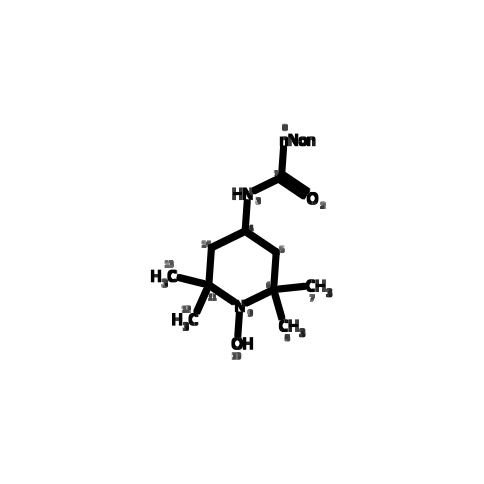 CCCCCCCCCC(=O)NC1CC(C)(C)N(O)C(C)(C)C1